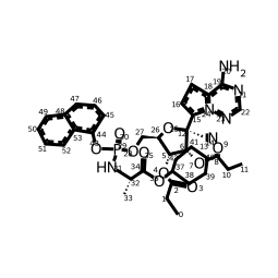 CCC(=O)O[C@H]1[C@@H](OC(=O)CC)[C@](C#N)(c2ccc3c(N)ncnn23)O[C@@H]1COP(=O)(N[C@@H](C)C(=O)OC1CCCCC1)Oc1cccc2ccccc12